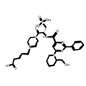 O=C(O)CCCCN1CCN(C(=O)[C@H](CP(=O)(O)O)NC(=O)c2cc(N3CCCCC3CO)nc(-c3ccccc3)n2)CC1